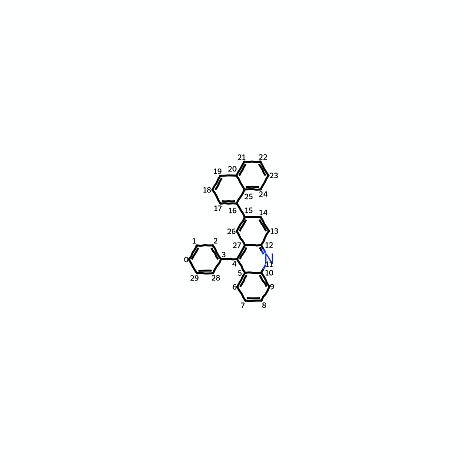 c1ccc(-c2c3ccccc3nc3ccc(-c4cccc5ccccc45)cc23)cc1